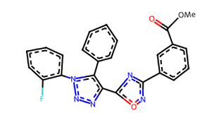 COC(=O)c1cccc(-c2noc(-c3nnn(-c4ccccc4F)c3-c3ccccc3)n2)c1